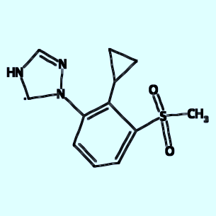 CS(=O)(=O)c1cccc(N2[CH]NC=N2)c1C1CC1